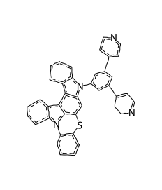 C1=NCCC(c2cc(-c3ccncc3)cc(-n3c4ccccc4c4c5c6ccccc6n6c5c(cc43)Sc3ccccc3-6)c2)=C1